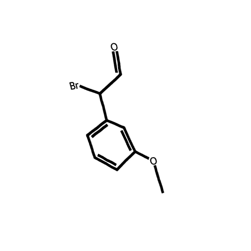 COc1cccc(C(Br)C=O)c1